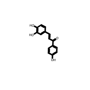 O=C(/C=C/c1ccc(O)c(O)c1)c1ccc(O)cc1